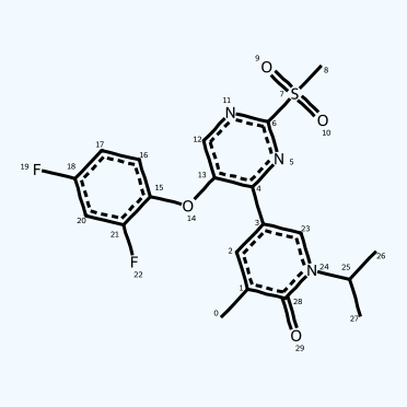 Cc1cc(-c2nc(S(C)(=O)=O)ncc2Oc2ccc(F)cc2F)cn(C(C)C)c1=O